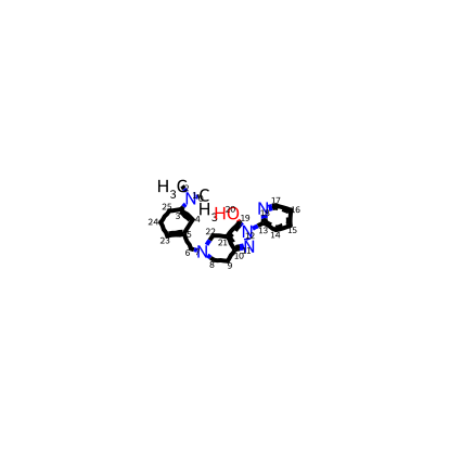 CN(C)C1=CC(CN2CCc3nn(-c4ccccn4)c(O)c3C2)=CCC1